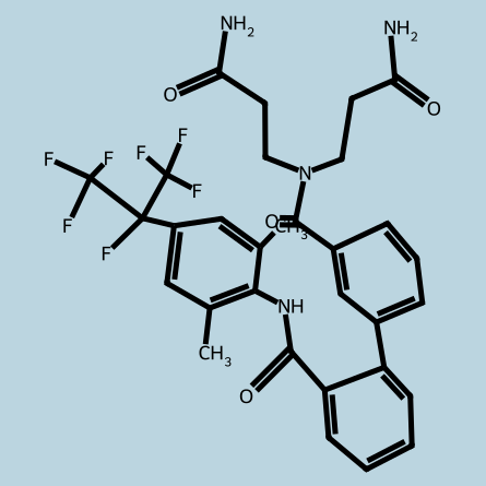 Cc1cc(C(F)(C(F)(F)F)C(F)(F)F)cc(C)c1NC(=O)c1ccccc1-c1cccc(C(=O)N(CCC(N)=O)CCC(N)=O)c1